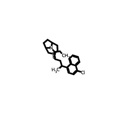 CCC(=O)N1C2CCC1CN(CCC(C)c1ccc(Cl)c3ccccc13)CC2